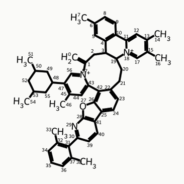 C=C1CC2c3cc(C)ccc3-c3cc(C)c(C)c[n+]3C2CCc2ccc3c(oc4nc(-c5c(C)cccc5C)ccc43)c2-c2cc(C)c(C3CC(C)CC(C)C3)c[n+]21